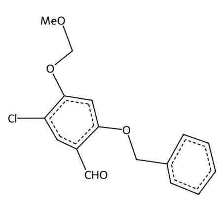 COCOc1cc(OCc2ccccc2)c(C=O)cc1Cl